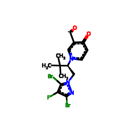 CC(C)(C)[C@H](Cn1nc(Br)c(F)c1Br)n1ccc(=O)c([C]=O)c1